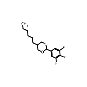 CCCCCCC1COC(c2cc(F)c(F)c(F)c2)OC1